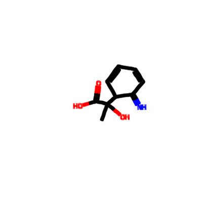 CC(O)(C(=O)O)C1C=CC=CC1=N